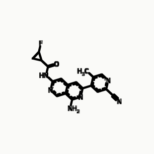 Cc1cnc(C#N)cc1-c1cc2cc(NC(=O)C3CC3F)ncc2c(N)n1